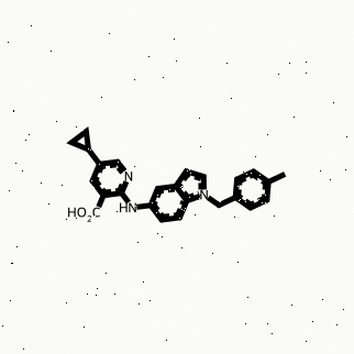 Cc1ccc(Cn2ccc3cc(Nc4ncc(C5CC5)cc4C(=O)O)ccc32)cc1